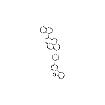 c1ccc2c(-c3ccc4ccc5c(-c6ccc(-c7ccc8oc9ccccc9c8c7)cc6)ccc6ccc3c4c65)cccc2c1